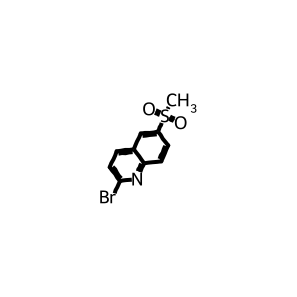 CS(=O)(=O)c1ccc2nc(Br)ccc2c1